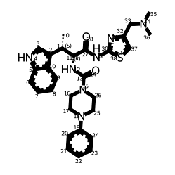 C[C@@H](c1c[nH]c2ccccc12)[C@@H](NC(=O)N1CCN(c2ccccc2)CC1)C(=O)Nc1nc(CN(C)C)cs1